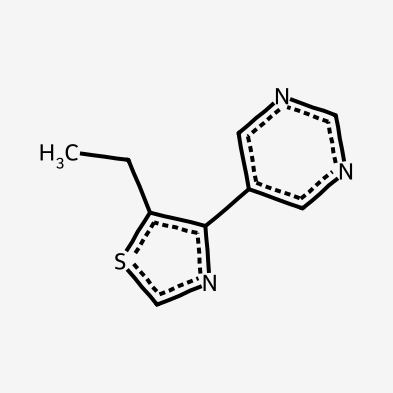 CCc1scnc1-c1cncnc1